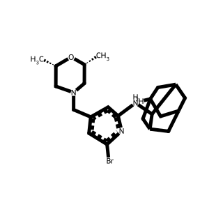 [2H]C12CC3CC(C1)C(Nc1cc(CN4C[C@@H](C)O[C@@H](C)C4)cc(Br)n1)C(C3)C2